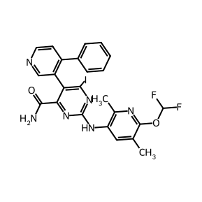 Cc1cc(Nc2nc(I)c(-c3cnccc3-c3ccccc3)c(C(N)=O)n2)c(C)nc1OC(F)F